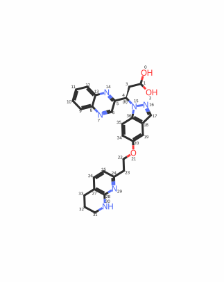 OC(O)C[C@H](c1cnc2ccccc2n1)n1ncc2cc(OCCc3ccc4c(n3)NCCC4)ccc21